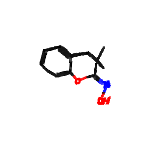 CC1(C)Cc2ccccc2OC1=NO